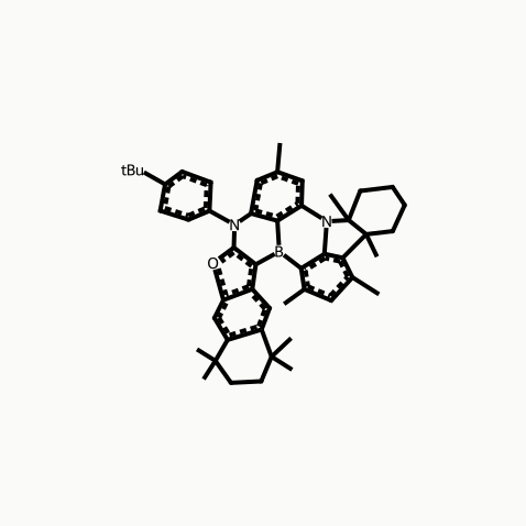 Cc1cc2c3c(c1)N1c4c(c(C)cc(C)c4C4(C)CCCCC14C)B3c1c(oc3cc4c(cc13)C(C)(C)CCC4(C)C)N2c1ccc(C(C)(C)C)cc1